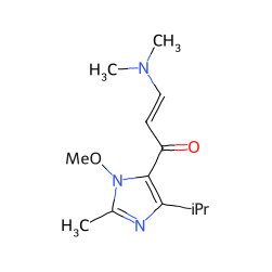 COn1c(C)nc(C(C)C)c1C(=O)C=CN(C)C